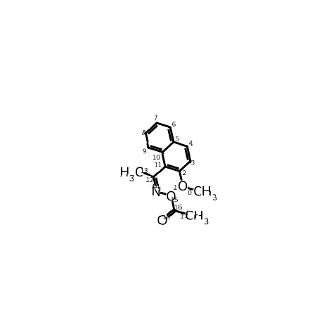 COc1ccc2ccccc2c1/C(C)=N\OC(C)=O